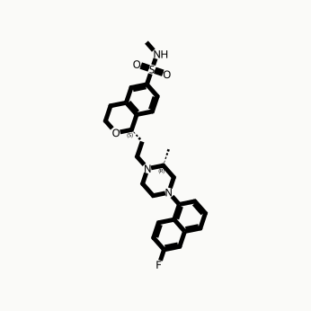 CNS(=O)(=O)c1ccc2c(c1)CCO[C@H]2CCN1CCN(c2cccc3cc(F)ccc23)C[C@H]1C